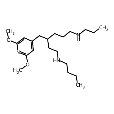 CCCCNCCC(CCCNCCC)Cc1cc(OC)nc(OC)c1